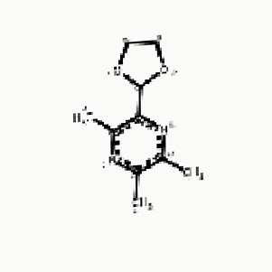 Cc1nc(C)c(C2OCCO2)nc1C